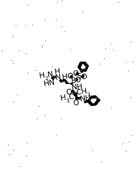 CC(C)(C(=O)NCc1ccccc1)C(=O)N[C@@H](CCCNC(=N)N)B(O)OS(=O)(=O)c1ccccc1